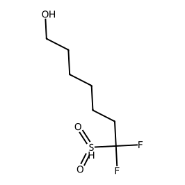 O=[SH](=O)C(F)(F)CCCCCCO